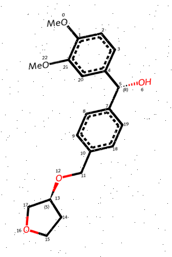 COc1ccc([C@H](O)c2ccc(CO[C@H]3CCOC3)cc2)cc1OC